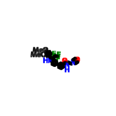 COc1ccc(-c2[nH]c3ccc(-c4cccc(C(=O)NCCN5CCOCC5)c4)cc3c2C(F)C(F)F)cc1OC